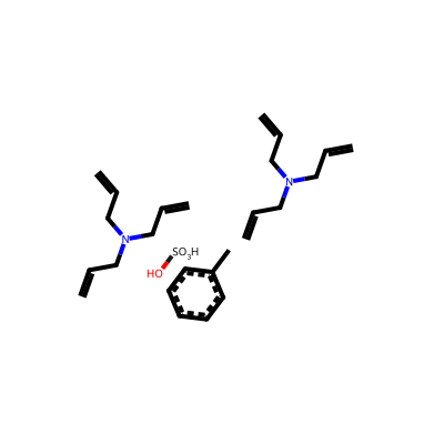 C=CCN(CC=C)CC=C.C=CCN(CC=C)CC=C.Cc1ccccc1.O=S(=O)(O)O